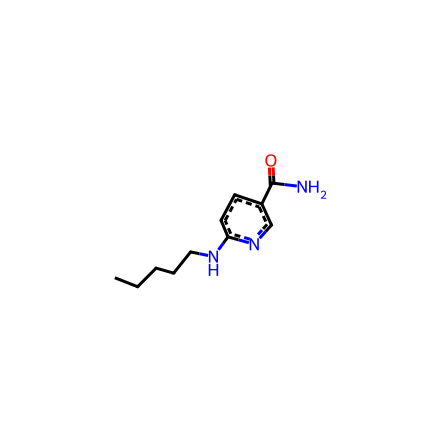 CCCCCNc1ccc(C(N)=O)cn1